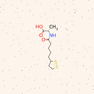 C[C@H](NC(=O)CCCCC1CCSS1)C(=O)O